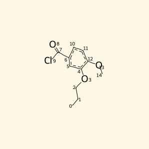 CCCOc1cc(C(=O)Cl)ccc1OC